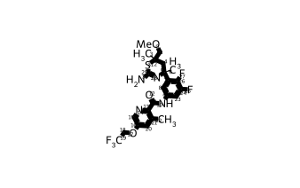 COC[C@@]1(C)C[C@@](C)(c2cc(NC(=O)c3ncc(OCC(F)(F)F)cc3C)cc(F)c2F)N=C(N)S1